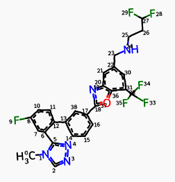 Cn1cnnc1-c1cc(F)ccc1-c1cccc(-c2nc3cc(CNCCC(F)F)cc(C(F)(F)F)c3o2)c1